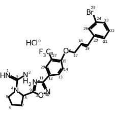 Cl.N=C(N)N1CCCC1c1nc(-c2ccc(OCC=Cc3cccc(Br)c3)c(C(F)(F)F)c2)no1